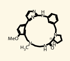 COc1ccc2cc1CN(C)CCNC(=O)[C@@H]1CCCN1Cc1cccc(c1)Nc1nccc-2n1